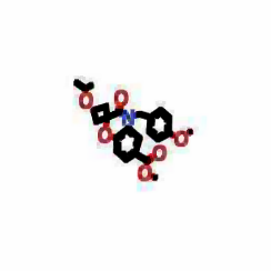 COC(=O)c1ccc2c(c1)N(Cc1ccc(OC)cc1)C(=O)C1(CC(OC(C)C)C1)O2